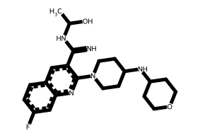 CC(O)NC(=N)c1cc2ccc(F)cc2nc1N1CCC(NC2CCOCC2)CC1